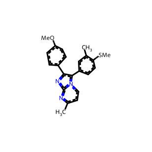 COc1ccc(-c2nc3nc(C)ccn3c2-c2ccc(SC)c(C)c2)cc1